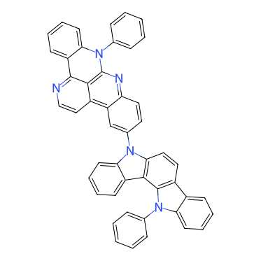 c1ccc(N2c3ccccc3-c3nccc4c3c2nc2ccc(-n3c5ccccc5c5c3ccc3c6ccccc6n(-c6ccccc6)c35)cc24)cc1